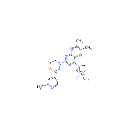 Cc1cc([C@H]2CN(c3nc(C45CC(C4)[C@@H](C(F)(F)F)C5)c4nc(C)c(C)nc4n3)CCO2)ccn1